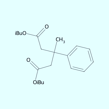 CC(C)COC(=O)CC(C)(CC(=O)OCC(C)C)c1ccccc1